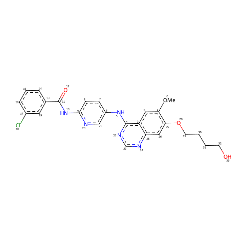 COc1cc2c(Nc3ccc(NC(=O)c4cccc(Cl)c4)nc3)ncnc2cc1OCCCCO